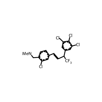 CNCc1ccc(/C=C/C(c2cc(Cl)c(Cl)c(Cl)c2)C(F)(F)F)cc1Cl